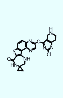 O=C1NC2(CC2)CNc2c1sc1ccc3nc(Oc4nc(Cl)nc5c4CNCC5)cnc3c21